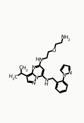 CC(C)c1cnn2c(NCc3ccccc3-n3cccn3)cc(NCCOCCN)nc12